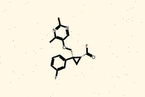 Cc1ncc(OC[C@@]2(c3cccc(F)c3)C[C@H]2C(=O)F)c(C)n1